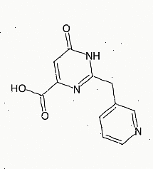 O=C(O)c1cc(=O)[nH]c(Cc2cccnc2)n1